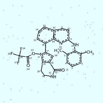 Cc1cccc(C)c1Nc1ccc2cccc(-c3cc4c(n3OC(=O)C(F)(F)F)CCNC4=O)c2n1